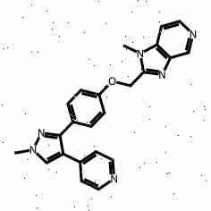 Cn1cc(-c2ccncc2)c(-c2ccc(OCc3nc4cnccc4n3C)cc2)n1